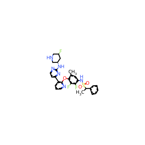 Cc1cc(NS(=O)(=O)C(C)c2ccccc2)c(F)c(F)c1Oc1ncccc1-c1ccnc(N[C@@H]2CNC[C@@H](F)C2)n1